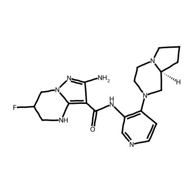 Nc1nn2c(c1C(=O)Nc1cnccc1N1CCN3CCC[C@H]3C1)NCC(F)C2